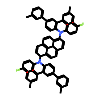 Cc1cccc(-c2ccc(N(C3=C4C=CC5=C6C(=CC=C(C=C3)C46)C(N(c3ccc(F)cc3)c3ccc(-c4cccc(C)c4)cc3-c3cccc(C)c3)C=C5)c3ccc(F)cc3)c(-c3cccc(C)c3)c2)c1